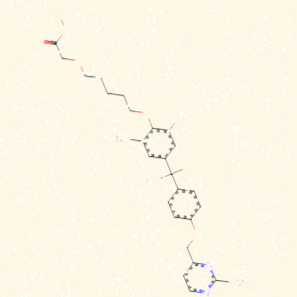 CSc1nccc(COc2ccc(C(C)(C)c3cc(Cl)c(OCCCCCOCC(=O)OC(C)(C)C)c(C#N)c3)cc2)n1